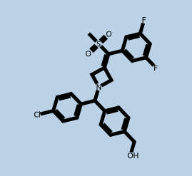 CS(=O)(=O)C(=C1CN(C(c2ccc(Cl)cc2)c2ccc(CO)cc2)C1)c1cc(F)cc(F)c1